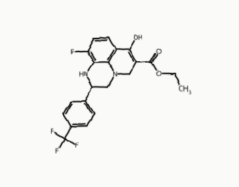 CCOC(=O)C1=C(O)c2ccc(F)c3c2N(C1)CC(c1ccc(C(F)(F)F)cc1)N3